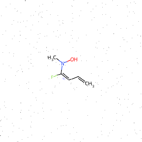 C=C/C=C(/F)N(C)O